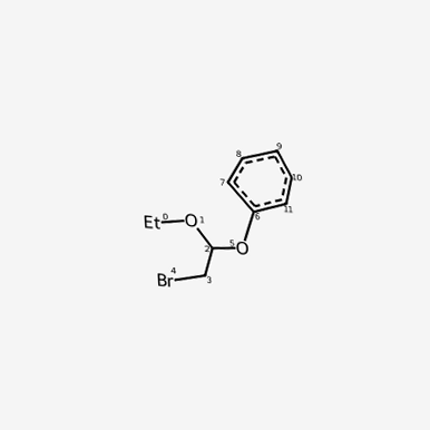 CCOC(CBr)Oc1ccccc1